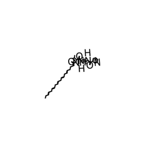 CCC=CCC=CCC=CCC=CCC=CCCCC(=O)NC(C(=O)NCCNC(=O)c1cccnc1)C(C)C